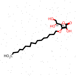 O=C(O)CCCCCCCCCCCCCCCOC1=C(O)C(=O)O[C@@H]1[C@@H](O)CO